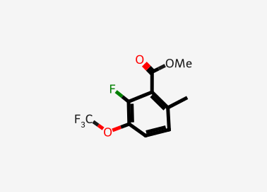 COC(=O)c1c(C)ccc(OC(F)(F)F)c1F